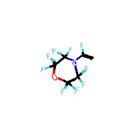 C=C(F)N1C(F)(F)C(F)(F)OC(F)(F)C1(F)F